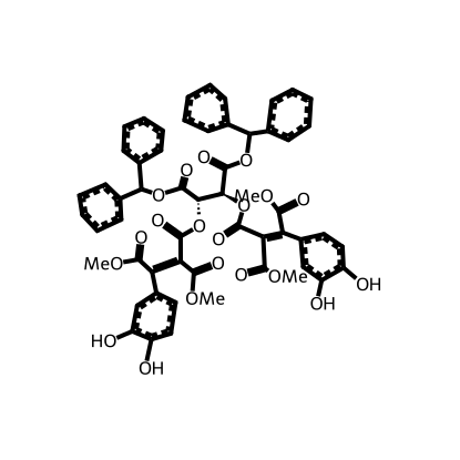 COC(=O)C(C(=O)O[C@H](C(=O)OC(c1ccccc1)c1ccccc1)[C@H](OC(=O)C(C(=O)OC)=C(C(=O)OC)c1ccc(O)c(O)c1)C(=O)OC(c1ccccc1)c1ccccc1)=C(C(=O)OC)c1ccc(O)c(O)c1